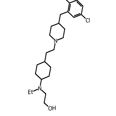 CCN(CCO)C1CCC(CCN2CCC(Cc3cc(Cl)ccc3Br)CC2)CC1